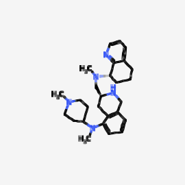 CN1CCC(N(C)c2cccc3c2C[C@@H](CN(C)[C@H]2CCCc4cccnc42)NC3)CC1